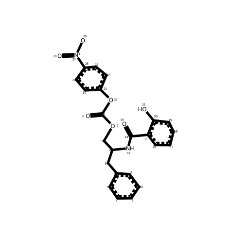 O=C(OCC(Cc1ccccc1)NC(=O)c1ccccc1O)Oc1ccc([N+](=O)[O-])cc1